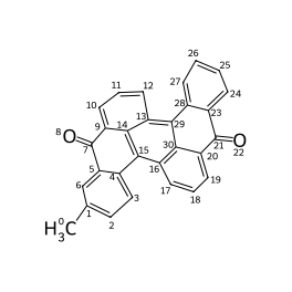 Cc1ccc2c(c1)c(=O)c1cccc3c1c2c1cccc2c(=O)c4ccccc4c3c21